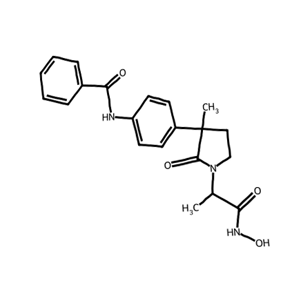 CC(C(=O)NO)N1CCC(C)(c2ccc(NC(=O)c3ccccc3)cc2)C1=O